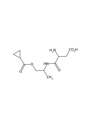 CC(COC(=O)C1CC1)NC(=O)C(N)CC(=O)O